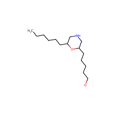 CCCCCCC1CNCC(CCCCC[O])O1